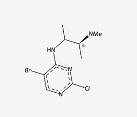 CN[C@@H](C)C(C)Nc1nc(Cl)ncc1Br